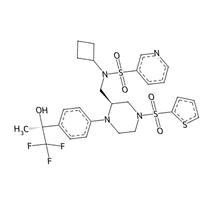 C[C@](O)(c1ccc(N2CCN(S(=O)(=O)c3cccs3)C[C@@H]2CN(C2CCC2)S(=O)(=O)c2cccnc2)cc1)C(F)(F)F